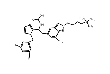 Cc1cc(CC(NC(=O)O)c2nccn2Cc2cc(F)cc(F)c2)cc2cn(COCC[Si](C)(C)C)nc12